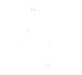 CCCCCCC[n+]1ccc(C(C)C)cc1